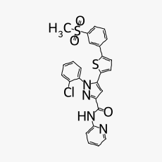 CS(=O)(=O)c1cccc(-c2ccc(-c3cc(C(=O)Nc4ccccn4)nn3-c3ccccc3Cl)s2)c1